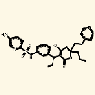 CCCC1(CCc2ccccc2)CC(O)=C([C@@H](CC)c2cccc(NS(=O)(=O)c3ccc(N)cn3)c2)C(=O)O1